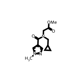 COC(=O)CN(CC1CC1)C(=O)c1cnn(C)c1